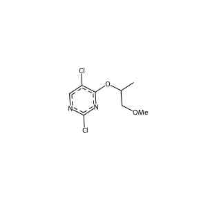 COCC(C)Oc1nc(Cl)ncc1Cl